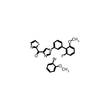 COc1cccc(F)c1-c1cccc(-n2cnc(C(=O)c3nccs3)c2)c1.COc1ccccc1Br